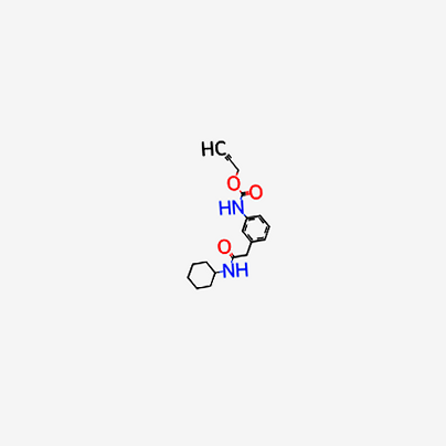 C#CCOC(=O)Nc1cccc(CC(=O)NC2CCCCC2)c1